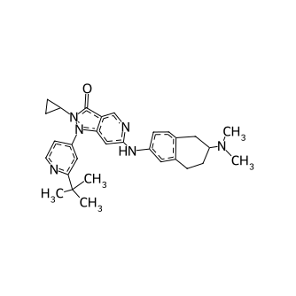 CN(C)C1CCc2cc(Nc3cc4c(cn3)c(=O)n(C3CC3)n4-c3ccnc(C(C)(C)C)c3)ccc2C1